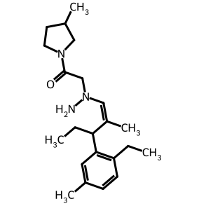 CCc1ccc(C)cc1C(CC)/C(C)=C\N(N)CC(=O)N1CCC(C)C1